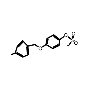 Cc1ccc(COc2ccc(OS(=O)(=O)F)cc2)cc1